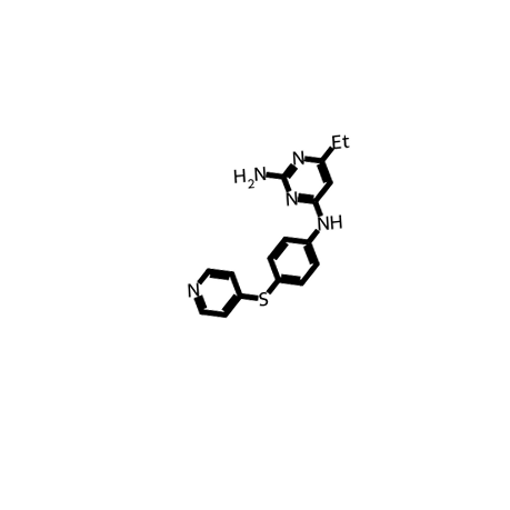 CCc1cc(Nc2ccc(Sc3ccncc3)cc2)nc(N)n1